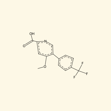 COc1cc(C(=O)O)ncc1-c1ccc(C(F)(F)F)cc1